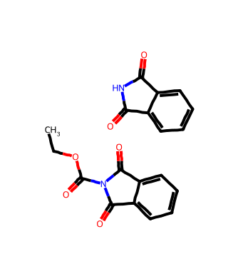 CCOC(=O)N1C(=O)c2ccccc2C1=O.O=C1NC(=O)c2ccccc21